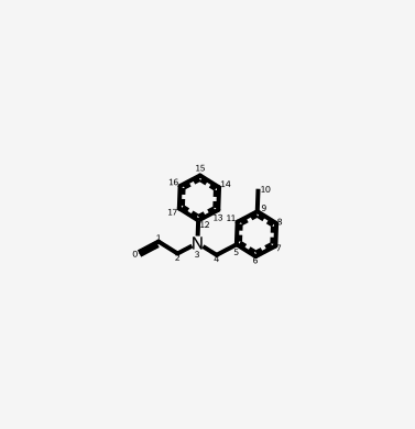 C=CCN(Cc1cccc(C)c1)c1ccccc1